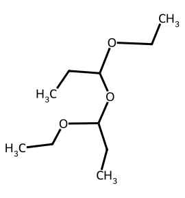 CCOC(CC)OC(CC)OCC